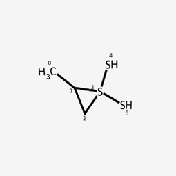 CC1CS1(S)S